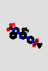 Cc1cc(N2CCN(S(=O)(=O)C3CC3)CC2)cnc1N1CCN(C(=O)O)c2ccccc21